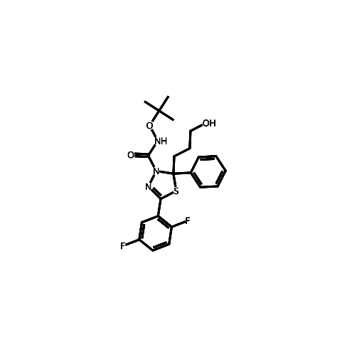 CC(C)(C)ONC(=O)N1N=C(c2cc(F)ccc2F)SC1(CCCO)c1ccccc1